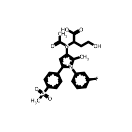 CC(=O)N(c1cc(-c2ccc(S(C)(=O)=O)cc2)n(-c2cccc(F)c2)c1C)C(CCO)C(=O)O